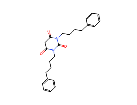 O=C1CC(=O)N(CCCCc2ccccc2)C(=O)N1CCCCc1ccccc1